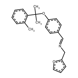 Cc1ccccc1C(C)(C)Oc1ccc(C=NCc2ccco2)cc1